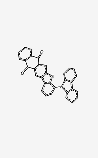 O=C1c2ccccc2C(=O)c2cc3c(cc21)sc1c(-n2c4ccccc4c4ccccc42)cccc13